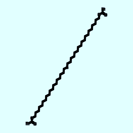 CCC(=O)OCCCCCCCCCCCCCCCCCCSCCCCCCCCCCCCCCCCCCOC(=O)CC